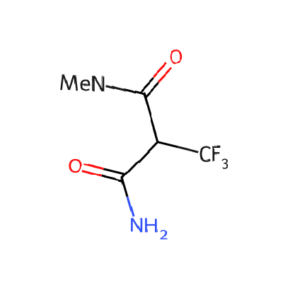 CNC(=O)C(C(N)=O)C(F)(F)F